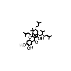 CC(C)=CC[C@@H](C[C@@]12C[C@@H](CC=C(C)C)C(C)(C)[C@@](CC=C(C)C)(C(=O)C(C(=O)c3ccc(O)c(O)c3)=C1O)C2=O)C(C)C